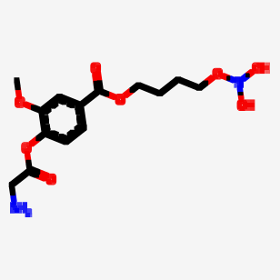 COc1cc(C(=O)OCCCCON(O)O)ccc1OC(=O)CN